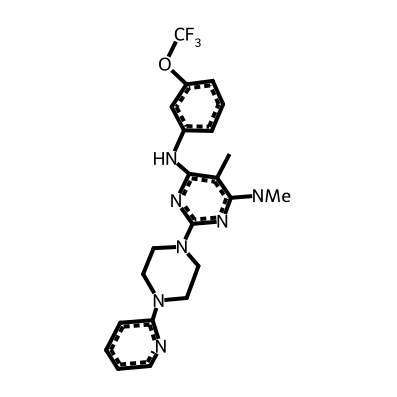 CNc1nc(N2CCN(c3ccccn3)CC2)nc(Nc2cccc(OC(F)(F)F)c2)c1C